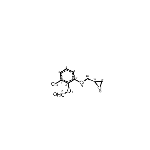 O=COc1c(Cl)cccc1OC[C@H]1CO1